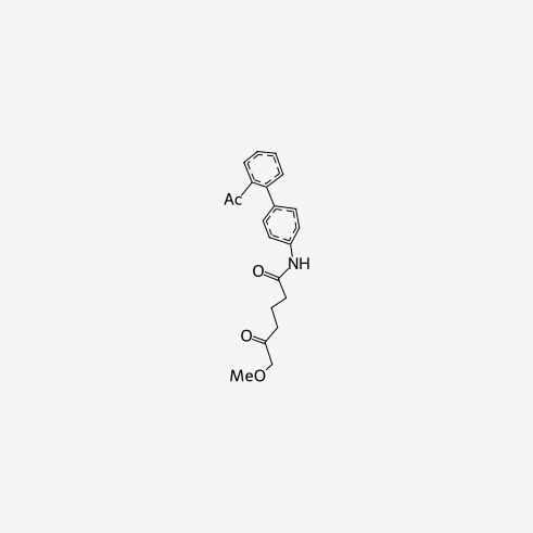 COCC(=O)CCCC(=O)Nc1ccc(-c2ccccc2C(C)=O)cc1